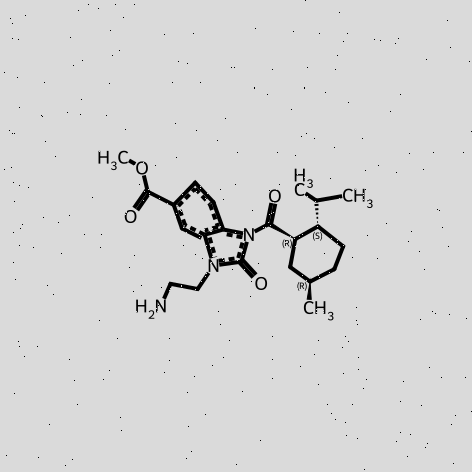 COC(=O)c1ccc2c(c1)n(CCN)c(=O)n2C(=O)[C@@H]1C[C@H](C)CC[C@H]1C(C)C